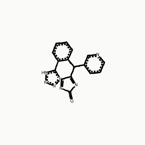 O=C1N=CC(C(c2cccnc2)c2ccccc2-c2nnn[nH]2)=N1